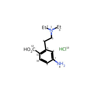 CCN(CC)CCc1cc(N)ccc1C(=O)O.Cl